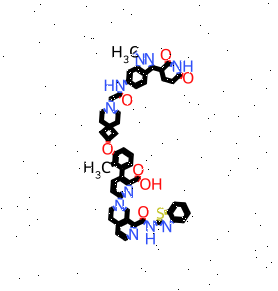 Cc1c(OC2CC3(CCN(CC(=O)Nc4ccc5c(C6CCC(=O)NC6=O)nn(C)c5c4)CC3)C2)cccc1-c1ccc(N2CCc3ccnc(C(=O)Nc4nc5ccccc5s4)c3C2)nc1C(=O)O